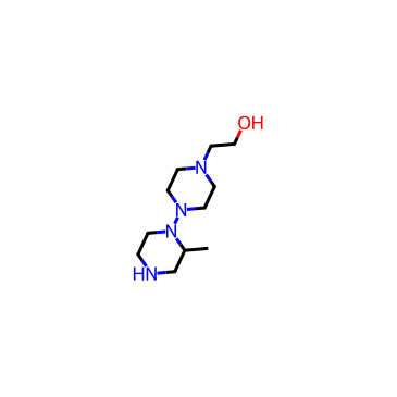 CC1CNCCN1N1CCN(CCO)CC1